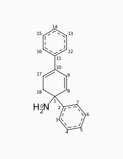 NC1(c2ccccc2)C=CC(c2ccccc2)=CC1